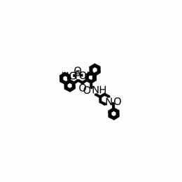 O=C(NCC1CCN(C(=O)c2ccccc2)CC1)c1cc2ccccc2cc1C(=O)C(c1cccc2ccccc12)P(=O)(O)O